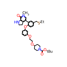 CCSCc1ccc(Oc2cccc(OCCOC3CCN(C(=O)OC(C)(C)C)CC3)c2)c(-c2cn(C)c(=O)c3c2CCN3)c1